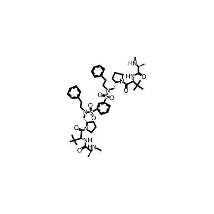 CN[C@@H](C)C(=O)N[C@H](C(=O)N1CCC[C@H]1CN(CCc1ccccc1)S(=O)(=O)c1cccc(S(=O)(=O)N(CCc2ccccc2)C[C@@H]2CCCN2C(=O)[C@@H](NC(=O)[C@H](C)NC)C(C)(C)C)c1)C(C)(C)C